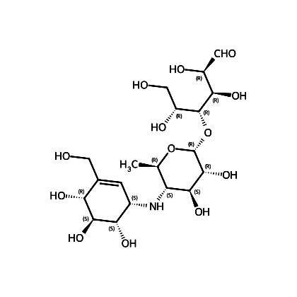 C[C@H]1O[C@H](O[C@@H]([C@H](O)[C@@H](O)C=O)[C@H](O)CO)[C@H](O)[C@@H](O)[C@@H]1N[C@H]1C=C(CO)[C@@H](O)[C@H](O)[C@H]1O